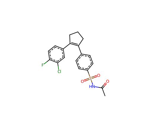 CC(=O)NS(=O)(=O)c1ccc(C2=C(c3ccc(F)c(Cl)c3)CCC2)cc1